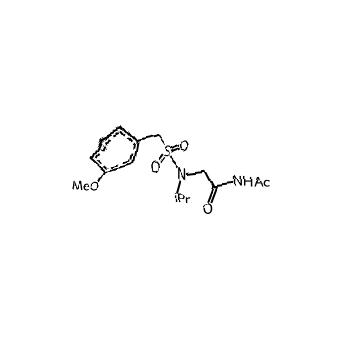 COc1cccc(CS(=O)(=O)N(CC(=O)NC(C)=O)C(C)C)c1